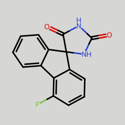 O=C1NC(=O)C2(N1)c1ccccc1-c1c(F)cccc12